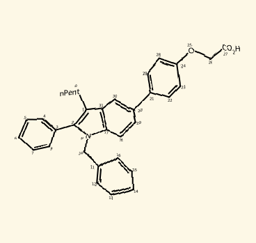 CCCCCc1c(-c2ccccc2)n(Cc2ccccc2)c2ccc(-c3ccc(OCC(=O)O)cc3)cc12